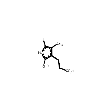 Cc1c(I)[nH]c(C=O)c1CCC(=O)O